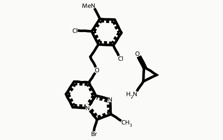 CNc1ccc(Cl)c(COc2cccn3c(Br)c(C)nc23)c1Cl.NC1CC1=O